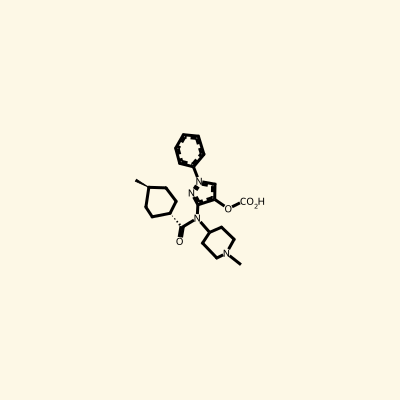 CN1CCC(N(c2nn(-c3ccccc3)cc2OC(=O)O)C(=O)[C@H]2CC[C@H](C)CC2)CC1